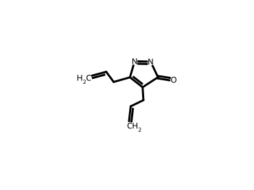 C=CCC1=C(CC=C)C(=O)N=N1